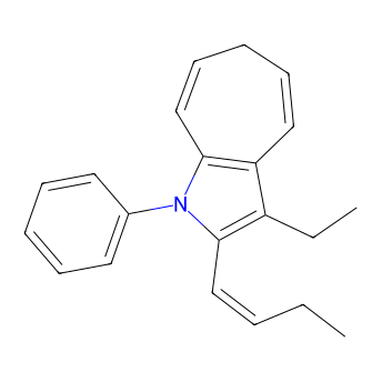 CC/C=C\c1c(CC)c2c(n1-c1ccccc1)C=CCC=C2